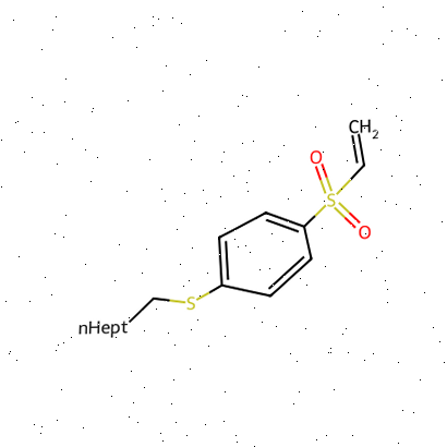 C=CS(=O)(=O)c1ccc(SCCCCCCCC)cc1